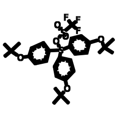 CC(C)(C)Oc1ccc(S(OS(=O)(=O)C(F)(F)F)(c2ccc(OC(C)(C)C)cc2)c2ccc(OC(C)(C)C)cc2)cc1